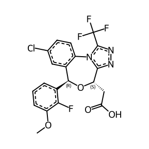 COc1cccc([C@@H]2O[C@@H](CC(=O)O)c3nnc(C(F)(F)F)n3-c3ccc(Cl)cc32)c1F